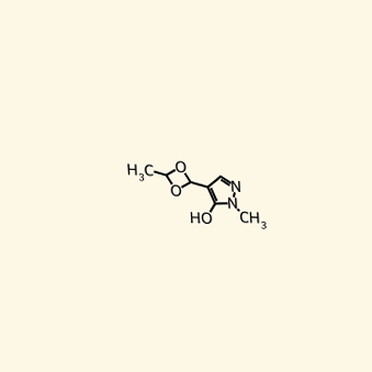 CC1OC(c2cnn(C)c2O)O1